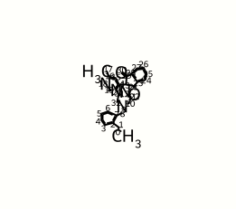 CCc1ccccc1CN1CCN(C2(c3cc(C)ncn3)C(=O)c3ccccc3C2=O)CC1